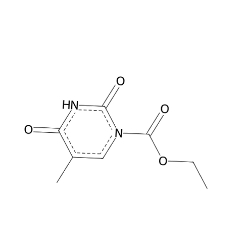 CCOC(=O)n1cc(C)c(=O)[nH]c1=O